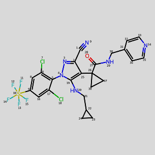 N#Cc1nn(-c2c(Cl)cc(S(F)(F)(F)(F)F)cc2Cl)c(NCC2CC2)c1C1(C(=O)NCc2ccncc2)CC1